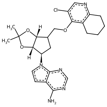 CC1(C)O[C@@H]2[C@H](O1)C(COc1c(Cl)cnc3c1CCCC3)C[C@H]2n1ccc2c(N)ncnc21